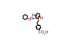 O=C(O)c1ccc(CC[C@H]2[C@H](C=NOC3CCCCC3)[C@H]3CC[C@@H]2O3)cc1